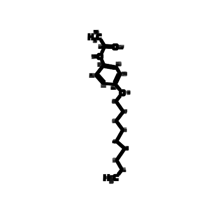 CCCCCCCCCOc1ccc(OC(C)=O)cc1